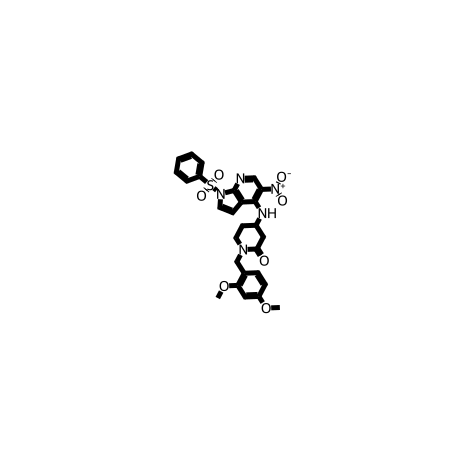 COc1ccc(CN2CCC(Nc3c([N+](=O)[O-])cnc4c3ccn4S(=O)(=O)c3ccccc3)CC2=O)c(OC)c1